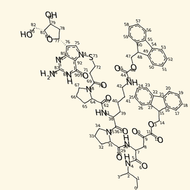 CCC(C)NC(=O)C(CC(=O)C(=O)OCC1c2ccccc2-c2ccccc21)NC(=O)C1CCCN1C(=O)C(CCCCNC(=O)OCC1c2ccccc2-c2ccccc21)NC(=O)C1CCCN1C(=O)CCSn1cc([C@H]2CC(O)[C@@H](CO)O2)c2nc(N)[nH]c(=O)c21